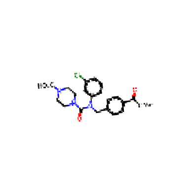 COC(=O)c1ccc(CN(C(=O)N2CCN(C(=O)O)CC2)c2cccc(Cl)c2)cc1